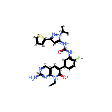 CCn1c(=O)c(-c2ccc(F)c(NC(=O)Nc3cc(-c4cccs4)nn3C(C)C)c2)cc2cnc(N)nc21